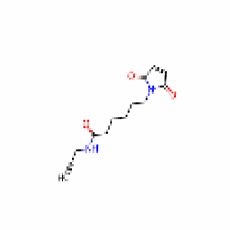 C#CCNC(=O)CCCCCN1C(=O)C=CC1=O